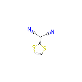 N#CC(C#N)=C1SC=CS1